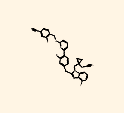 N#CCC1(Cn2c(Cc3ccc(-c4cccc(OCc5ccc(C#N)cc5F)n4)c(F)c3)nc3c(F)cccc32)CC1